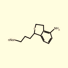 CCCCCCCCCCCCC1CCCc2c(N)cccc21